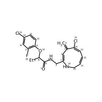 C=C1/C=C(/CNC(=O)C(CC)Oc2ccc(Cl)cc2F)NC/C=C\C=C/1Cl